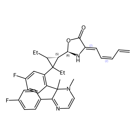 C=C/C=C\C=C1/N[C@@H]([C@H]2C(CC)C2(CC)c2cc(F)ccc2C2(C)C(c3ccc(F)cc3)=NC=CN2C)OC1=O